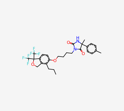 CCCc1c(OCCCCN2C(=O)NC(C)(c3ccc(C)cc3)C2=O)ccc2c1COC2(C(F)(F)F)C(F)(F)F